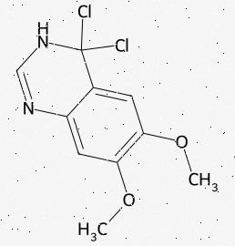 COc1cc2c(cc1OC)C(Cl)(Cl)NC=N2